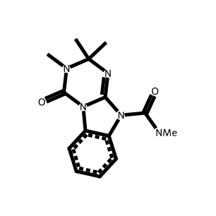 CNC(=O)N1C2=NC(C)(C)N(C)C(=O)N2c2ccccc21